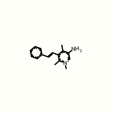 Cc1c(N)c[n+](C)c(C)c1C=Cc1ccccc1